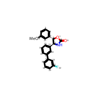 COc1cccc([C@@H]2OC(=O)N[C@H]2c2cccc(-c3cccc(F)c3)c2)c1